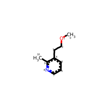 COCCc1cccnc1C